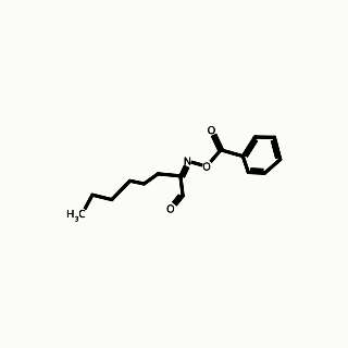 CCCCCCC(C=O)=NOC(=O)c1ccccc1